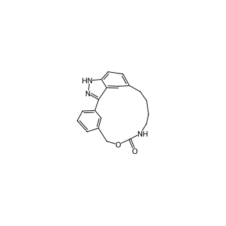 O=C1NCCCCc2ccc3[nH]nc(c3c2)-c2cccc(c2)CO1